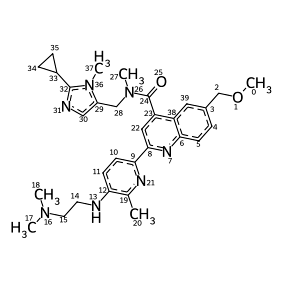 COCc1ccc2nc(-c3ccc(NCCN(C)C)c(C)n3)cc(C(=O)N(C)Cc3cnc(C4CC4)n3C)c2c1